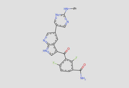 CC(C)Nc1ncc(-c2cnc3[nH]cc(C(=O)c4c(F)ccc(C(N)=O)c4F)c3c2)cn1